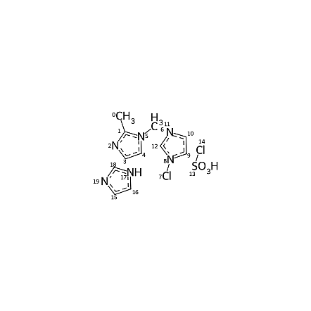 Cc1nccn1C.Cln1ccnc1.O=S(=O)(O)Cl.c1c[nH]cn1